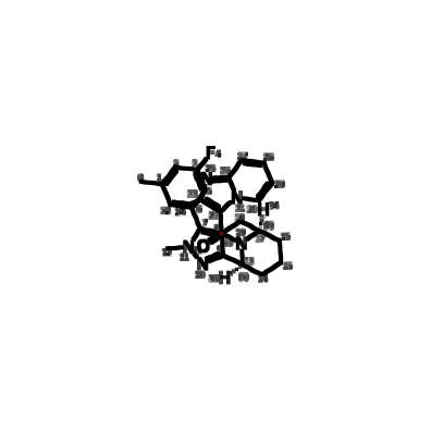 Cc1cc(F)cc(-c2c3c(nn2C)[C@@H]2CCC[C@H](C3)N2C(=O)c2c(C)nc3ccccn23)c1